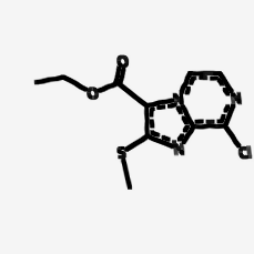 CCOC(=O)c1c(SC)nc2c(Cl)nccn12